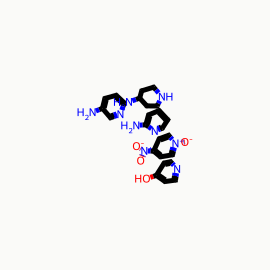 NC1CCNCC1.Nc1ccccn1.Nc1cccnc1.O=[N+]([O-])c1cc[n+]([O-])cc1.Oc1ccncc1